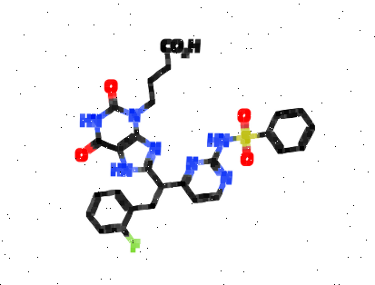 O=C(O)CCCn1c(=O)[nH]c(=O)c2[nH]c(C(Cc3ccccc3F)c3ccnc(NS(=O)(=O)c4ccccc4)n3)nc21